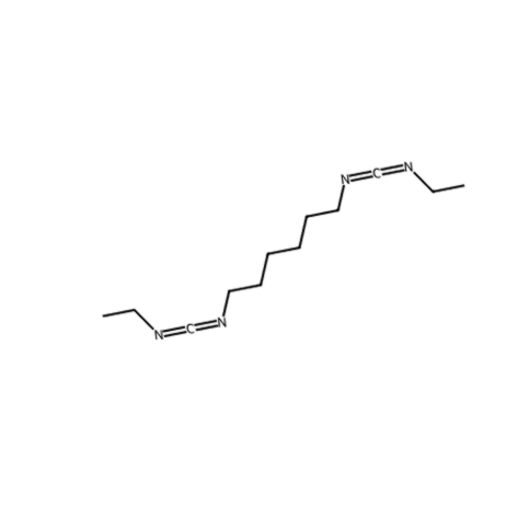 CCN=C=NCCCCCCN=C=NCC